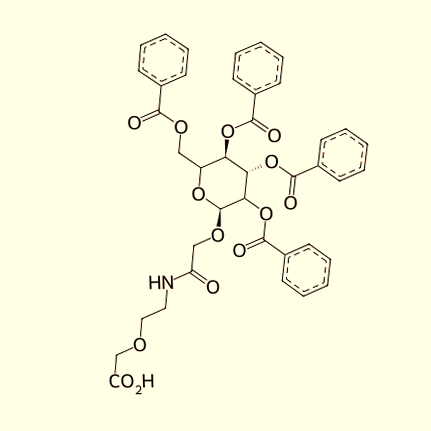 O=C(O)COCCNC(=O)CO[C@H]1OC(COC(=O)c2ccccc2)[C@@H](OC(=O)c2ccccc2)[C@H](OC(=O)c2ccccc2)C1OC(=O)c1ccccc1